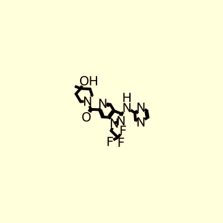 CC1(O)CCN(C(=O)c2cc3c(cn2)c(Nc2cnccn2)nn3CC(F)(F)F)CC1